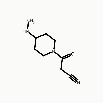 CNC1CCN(C(=O)CC#N)CC1